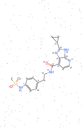 CS(=O)(=O)Nc1ccc(CCNC(=O)c2ccnc3[nH]c(C4CC4)nc23)cc1